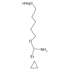 C1CC1.CCCCCCCCCCCCOC(N)CC